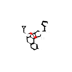 O=C(c1ccco1)N1C[C@H]2O[C@@]34CC[C@@H]1[C@@H]2[C@@]31CCN(CC2CC2)[C@@H]4Cc2ccc(O)cc21